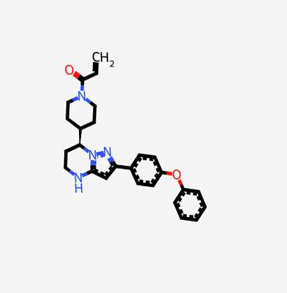 C=CC(=O)N1CCC([C@@H]2CCNc3cc(-c4ccc(Oc5ccccc5)cc4)nn32)CC1